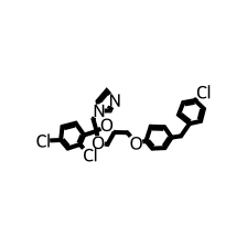 Clc1ccc(Cc2ccc(OCC3COC(Cn4ccnc4)(c4ccc(Cl)cc4Cl)O3)cc2)cc1